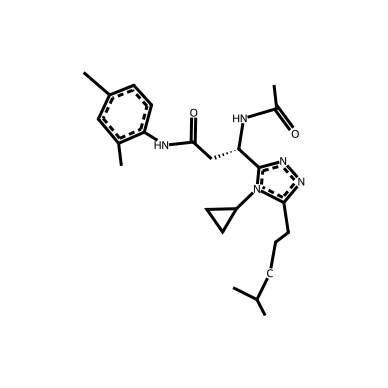 CC(=O)N[C@@H](CC(=O)Nc1ccc(C)cc1C)c1nnc(CCCC(C)C)n1C1CC1